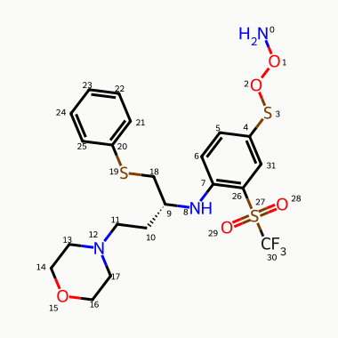 NOOSc1ccc(N[C@H](CCN2CCOCC2)CSc2ccccc2)c(S(=O)(=O)C(F)(F)F)c1